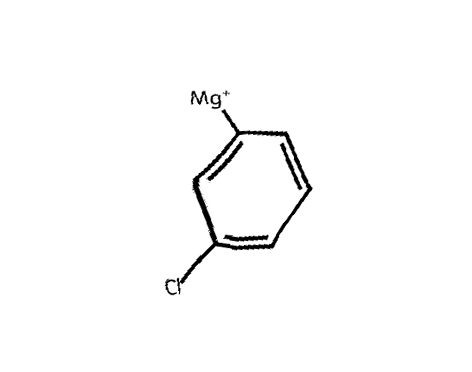 [Mg+][c]1cccc(Cl)c1